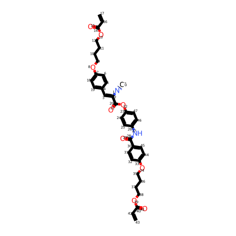 [C-]#[N+]/C(=C\c1ccc(OCCCCOC(=O)C=C)cc1)C(=O)Oc1ccc(NC(=O)c2ccc(OCCCCOC(=O)C=C)cc2)cc1